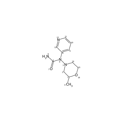 CC1CN(N(C(N)=O)c2cccnc2)CCO1